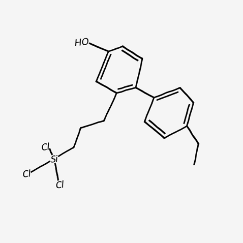 CCc1ccc(-c2ccc(O)cc2CCC[Si](Cl)(Cl)Cl)cc1